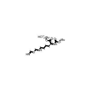 CC(C)(C)OC(=O)N[C@@H](CCCCNCOC=N)C(=O)OC(C)(C)C.Cl